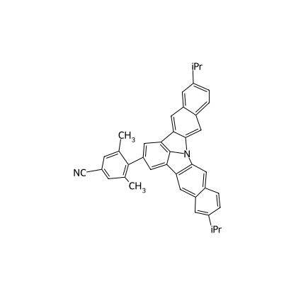 Cc1cc(C#N)cc(C)c1-c1cc2c3cc4cc(C(C)C)ccc4cc3n3c4cc5ccc(C(C)C)cc5cc4c(c1)c23